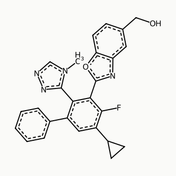 Cn1cnnc1-c1c(-c2ccccc2)cc(C2CC2)c(F)c1-c1nc2cc(CO)ccc2o1